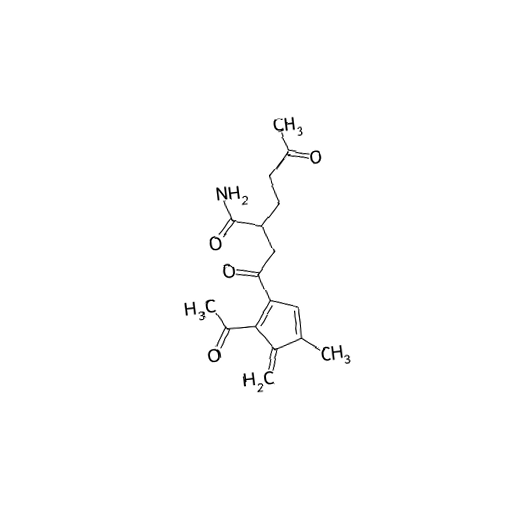 C=C1C(C)=CC(C(=O)CC(CCC(C)=O)C(N)=O)=C1C(C)=O